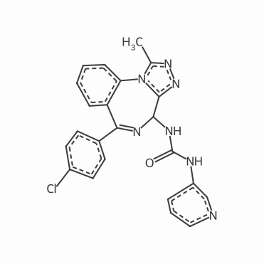 Cc1nnc2n1-c1ccccc1C(c1ccc(Cl)cc1)=NC2NC(=O)Nc1cccnc1